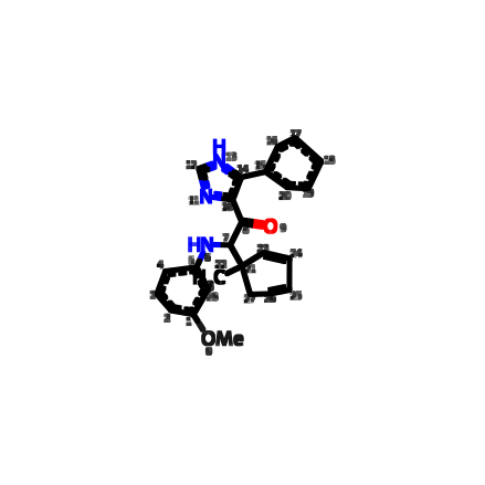 COc1cccc(NC(C(=O)c2nc[nH]c2-c2ccccc2)C2(C)C=CC=CC2)c1